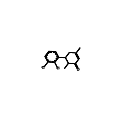 CC1=CC(=O)C(C)C(c2cccc(Cl)c2Cl)C1